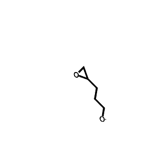 [O]CCCC1CO1